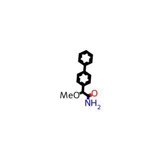 COC(C(N)=O)c1ccc(-c2ccccc2)cc1